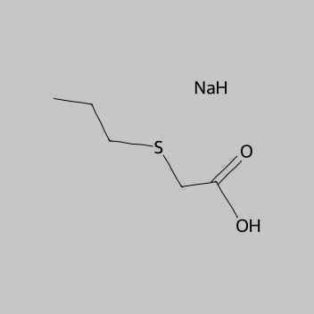 CCCSCC(=O)O.[NaH]